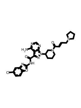 Nc1ncnc2c1c(C(=O)Nc1nc3cc(Cl)ccc3o1)nn2C1CCCN(C(=O)/C=C/CN2CCCC2)C1